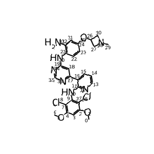 COc1cc(OC)c(Cl)c(Nc2ncccc2-c2cc(Nc3ccc(OC4CN(C)C4)cc3N)ncn2)c1Cl